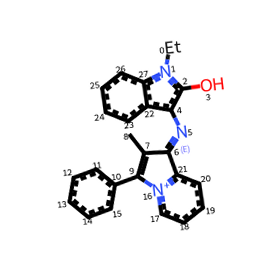 CCn1c(O)c(/N=C2\C(C)=C(c3ccccc3)[n+]3ccccc32)c2ccccc21